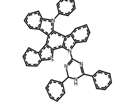 c1ccc(C2=NC(n3c4ccccc4c4c3c3sc5ccccc5c3c3c5ccccc5n(-c5ccccc5)c34)=NC(c3ccccc3)N2)cc1